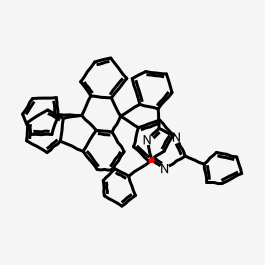 c1ccc(-c2nc(-c3ccccc3)nc(-c3ccccc3C3(c4ccccc4)c4ccccc4C4(c5ccccc5)c5ccccc5-c5cccc3c54)n2)cc1